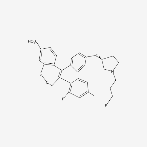 Cc1ccc(C2=C(c3ccc(O[C@H]4CCN(CCCF)C4)cc3)c3ccc(C(=O)O)cc3SCC2)c(F)c1